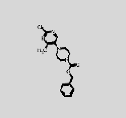 Cc1nc(Cl)ncc1N1CCN(C(=O)OCc2ccccc2)CC1